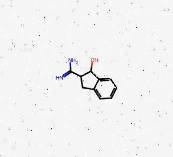 N=C(N)C1Cc2ccccc2C1O